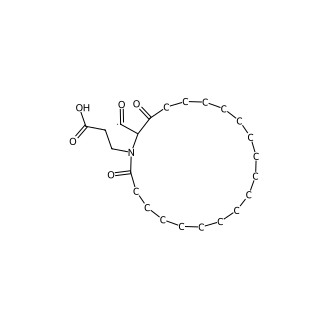 O=[C]C1C(=O)CCCCCCCCCCCCCCCCC(=O)N1CCC(=O)O